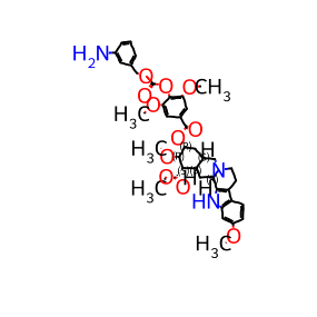 COC(=O)[C@H]1[C@H]2C[C@@H]3c4[nH]c5cc(OC)ccc5c4CCN3C[C@H]2C[C@@H](OC(=O)c2cc(OC)c(OC(=O)OCc3cccc(N)c3)c(OC)c2)[C@@H]1OC